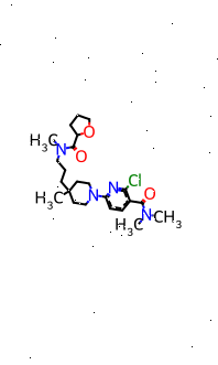 CN(C)C(=O)c1ccc(N2CCC(C)(CCCN(C)C(=O)C3CCCO3)CC2)nc1Cl